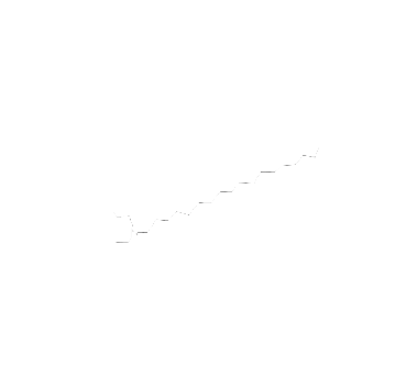 CCCCCCCCCCCCCCCCCCN(CC)CCO